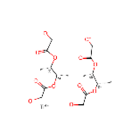 C[C@H](OC(=O)C[O-])[C@H](C)OC(=O)C[O-].C[C@H](OC(=O)C[O-])[C@H](C)OC(=O)C[O-].[Ti+4]